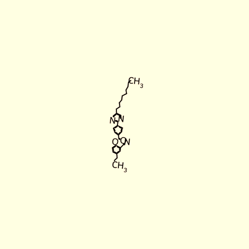 CCCCCCCCCCc1cnc(-c2ccc(C(=O)Oc3ccc(CCC)cc3C#N)cc2)nc1